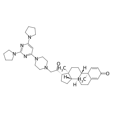 C[C@]12CC[C@H]3[C@@H](CCC4=CC(=O)C=C[C@@]43C)[C@@H]1CC[C@@H]2C(=O)CN1CCN(c2cc(N3CCCC3)nc(N3CCCC3)n2)CC1